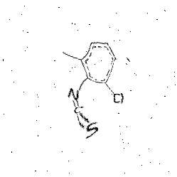 Cc1cccc(Cl)c1N=C=S